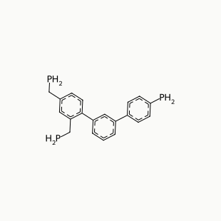 PCc1ccc(-c2cccc(-c3ccc(P)cc3)c2)c(CP)c1